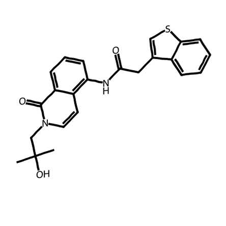 CC(C)(O)Cn1ccc2c(NC(=O)Cc3csc4ccccc34)cccc2c1=O